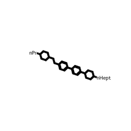 CCCCCCCC1CCC(c2ccc(-c3ccc(CCC4CCC(CCC)CC4)cc3)cc2)CC1